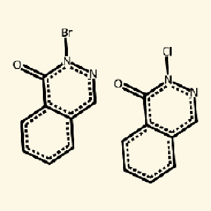 O=c1c2ccccc2cnn1Br.O=c1c2ccccc2cnn1Cl